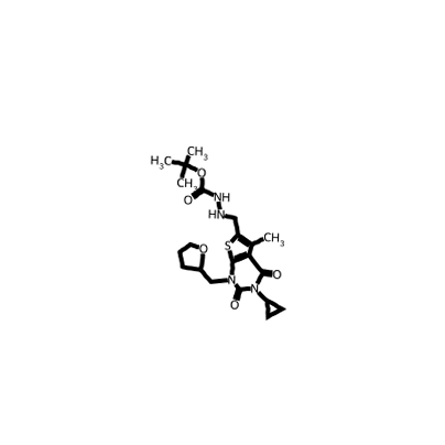 Cc1c(CNNC(=O)OC(C)(C)C)sc2c1c(=O)n(C1CC1)c(=O)n2CC1CCCO1